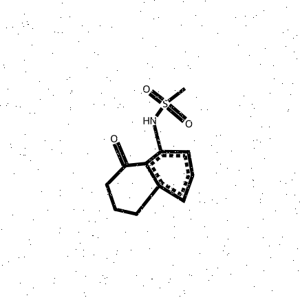 CS(=O)(=O)Nc1cccc2c1C(=O)CCC2